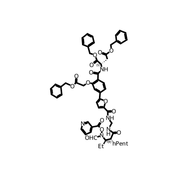 CCCCC[C@@H](C(=O)NCNC(=O)c1ccc(-c2ccc(C(=O)N[C@@H](CC(=O)OCc3ccccc3)C(=O)OCc3ccccc3)c(OCC(=O)OCc3ccccc3)c2)o1)[C@@H](CC)N(C=O)OC(=O)c1cccnc1